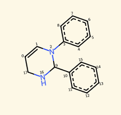 C1=CN(c2ccccc2)C(c2ccccc2)NC1